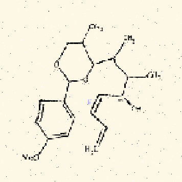 C=C/C=C\[C@H](C)C(C)C(C)C1OC(c2ccc(OC)cc2)OCC1C